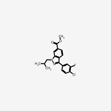 COC(=O)c1ccc2c(-c3ccc(Cl)c(F)c3)nn(CC(C)C)c2c1